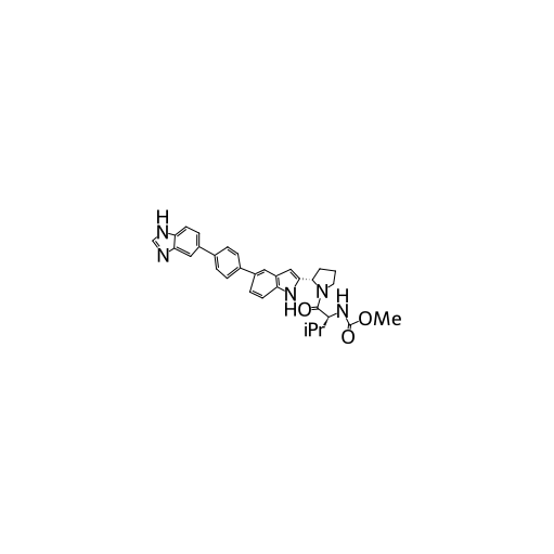 COC(=O)N[C@H](C(=O)N1CCC[C@H]1c1cc2cc(-c3ccc(-c4ccc5[nH]cnc5c4)cc3)ccc2[nH]1)C(C)C